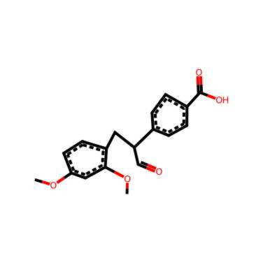 COc1ccc(CC(C=O)c2ccc(C(=O)O)cc2)c(OC)c1